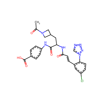 CC(=O)N1CC(CC(NC(=O)C=Cc2cc(Cl)ccc2-n2cnnn2)C(=O)Nc2ccc(C(=O)O)cc2)C1